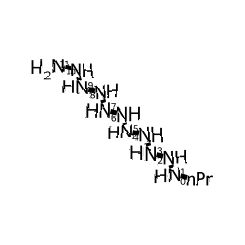 CCCNNNNNNNNNNN